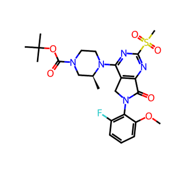 COc1cccc(F)c1N1Cc2c(nc(S(C)(=O)=O)nc2N2CCN(C(=O)OC(C)(C)C)C[C@@H]2C)C1=O